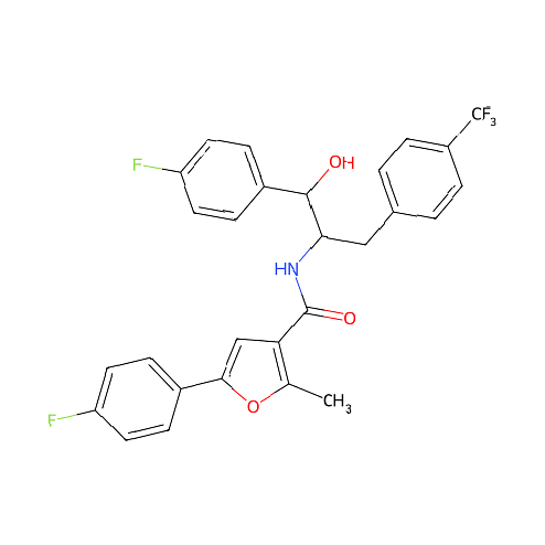 Cc1oc(-c2ccc(F)cc2)cc1C(=O)NC(Cc1ccc(C(F)(F)F)cc1)C(O)c1ccc(F)cc1